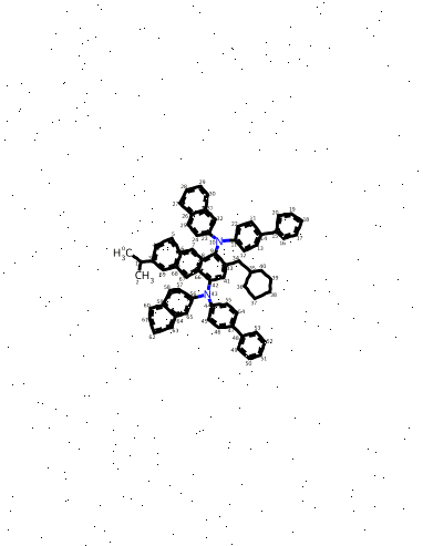 CC(C)c1ccc2cc3c(N(c4ccc(-c5ccccc5)cc4)c4ccc5ccccc5c4)c(CC4CCCCC4)cc(N(c4ccc(-c5ccccc5)cc4)c4ccc5ccccc5c4)c3cc2c1